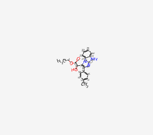 CCOC(=O)C(O)c1c(-c2ccc(C)cc2)nc2[nH]c3ccccc3n12